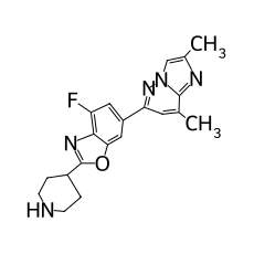 Cc1cn2nc(-c3cc(F)c4nc(C5CCNCC5)oc4c3)cc(C)c2n1